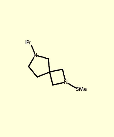 CSN1CC2(CCN(C(C)C)C2)C1